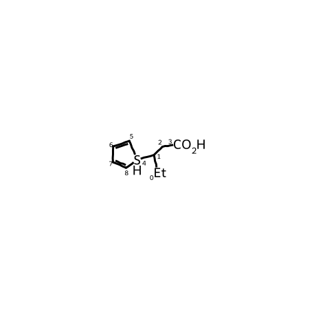 CCC(CC(=O)O)[SH]1C=CC=C1